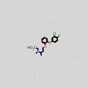 CC(CCOc1ccccc1Sc1ccc(F)c(Cl)c1)N(C)CC(=O)O